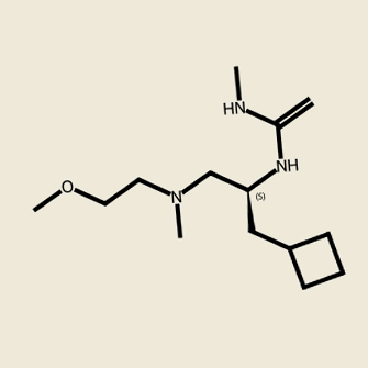 C=C(NC)N[C@@H](CC1CCC1)CN(C)CCOC